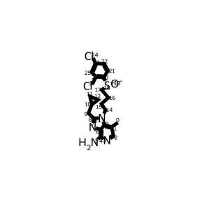 Cc1cnc(N)c2nc(CC3CC3)n(CCCC[S+]([O-])c3ccc(Cl)cc3Cl)c12